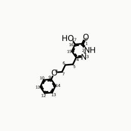 O=c1[nH]nc(CCCOc2ccccc2)cc1O